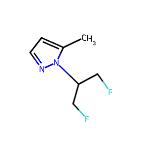 Cc1ccnn1C(CF)CF